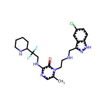 Cc1cnc(NCC(F)(F)C2CCCCN2)c(=O)n1CCNCc1n[nH]c2ccc(Cl)cc12